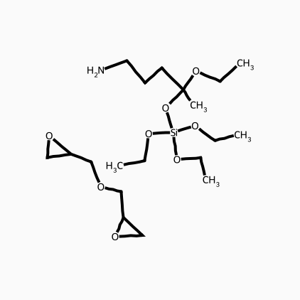 C(OCC1CO1)C1CO1.CCOC(C)(CCCN)O[Si](OCC)(OCC)OCC